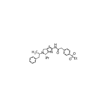 CCS(=O)(=O)c1ccc(CC(=O)Nc2nc3c(s2)CN([C@H](C)Cc2ccccc2)[C@H]3C(C)C)cc1